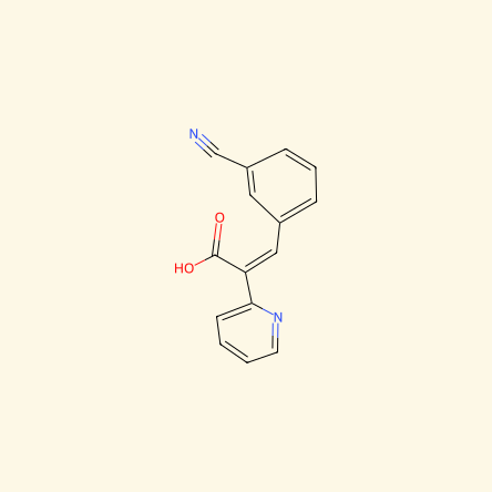 N#Cc1cccc(/C=C(\C(=O)O)c2ccccn2)c1